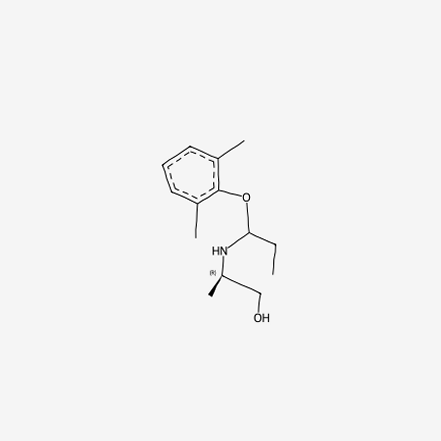 CCC(N[C@H](C)CO)Oc1c(C)cccc1C